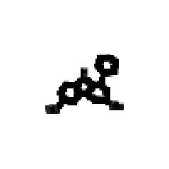 CC(C)(C)c1ccc2[nH]c3c(-c4[c]cccc4)cc(C(C)(C)C)cc3c2c1